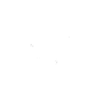 CC(=O)c1cccnc1CC(N)=O